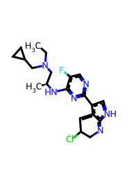 CCN(CC1CC1)C[C@H](C)Nc1nc(-c2c[nH]c3c2=CC(Cl)CN=3)ncc1F